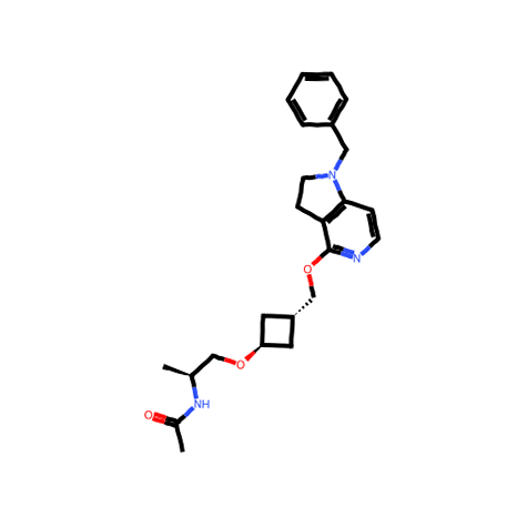 CC(=O)N[C@@H](C)CO[C@H]1C[C@H](COc2nccc3c2CCN3Cc2ccccc2)C1